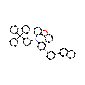 c1ccc(C2(c3ccccc3)c3ccccc3-c3ccc(N(c4ccc(-c5cccc(-c6ccc7ccccc7c6)c5)cc4)c4cccc5oc6ccccc6c45)cc32)cc1